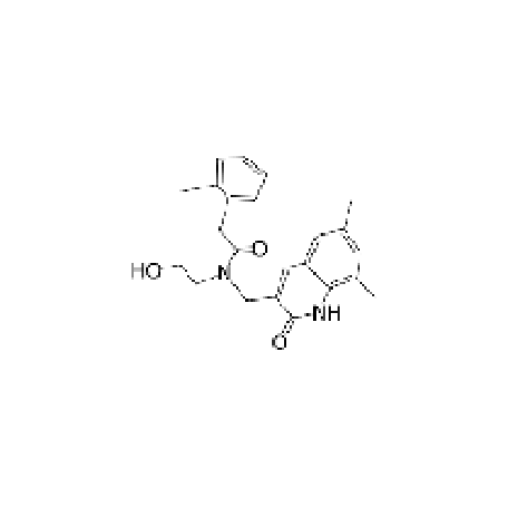 Cc1cc(C)c2[nH]c(=O)c(CN(CCO)C(=O)Cc3ccccc3C)cc2c1